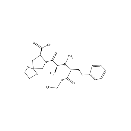 CCOC(=O)[C@H](CCc1ccccc1)N(C)[C@@H](C)C(=O)N1CC2(C[C@H]1C(=O)O)SCCS2